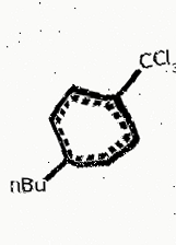 [CH2]CCCc1ccc(C(Cl)(Cl)Cl)cc1